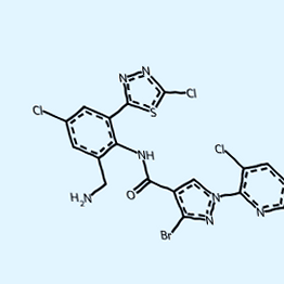 NCc1cc(Cl)cc(-c2nnc(Cl)s2)c1NC(=O)c1cn(-c2ncccc2Cl)nc1Br